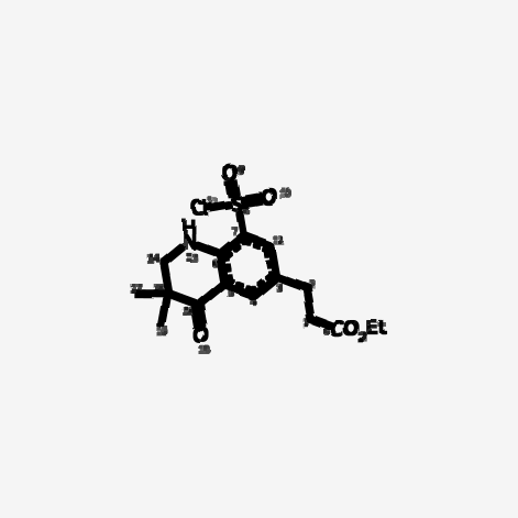 CCOC(=O)CCc1cc2c(c(S(=O)(=O)Cl)c1)NCC(C)(C)C2=O